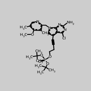 COc1c(C)cnc(Cn2cc(C#CCCOP(=O)(OC(C)(C)C)OC(C)(C)C)c3c(Cl)nc(N)nc32)c1C